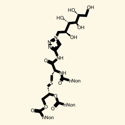 CCCCCCCCCC(=O)N[C@H](CSC[C@@H](COC(=O)CCCCCCCCC)OC(=O)CCCCCCCCC)C(=O)Nc1cn(C[C@H](O)[C@H](O)[C@H](O)[C@H](O)CO)nn1